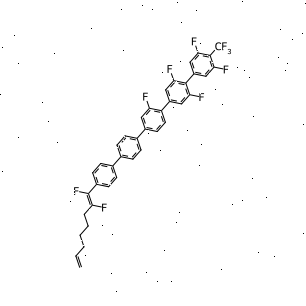 C=CCCCC/C(F)=C(\F)c1ccc(-c2ccc(-c3ccc(-c4cc(F)c(-c5cc(F)c(C(F)(F)F)c(F)c5)c(F)c4)c(F)c3)cc2)cc1